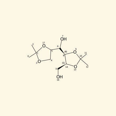 CC1(C)OCC(C(O)[C@H]2OC(C)(C)O[C@H]2CO)O1